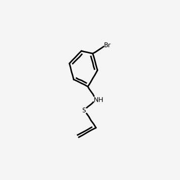 C=CSNc1cccc(Br)c1